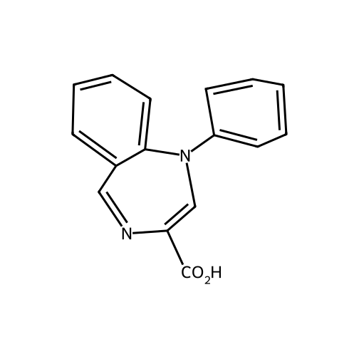 O=C(O)C1=CN(c2ccccc2)c2ccccc2C=N1